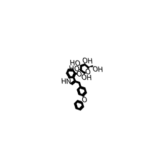 OC[C@H]1O[C@H](O)[C@@](O)(Oc2cccc3[nH]cc(Cc4ccc(Oc5ccccc5)cc4)c23)[C@@H](O)[C@@H]1O